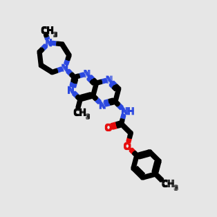 Cc1ccc(OCC(=O)Nc2cnc3nc(N4CCCN(C)CC4)nc(C)c3n2)cc1